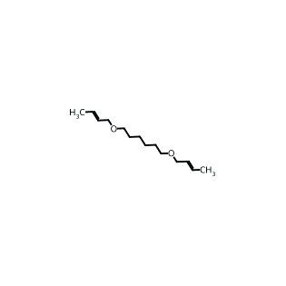 CC=CCOCCCCCCOCC=CC